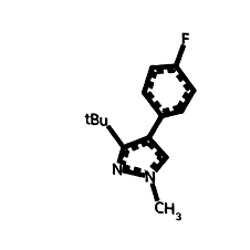 Cn1cc(-c2ccc(F)cc2)c(C(C)(C)C)n1